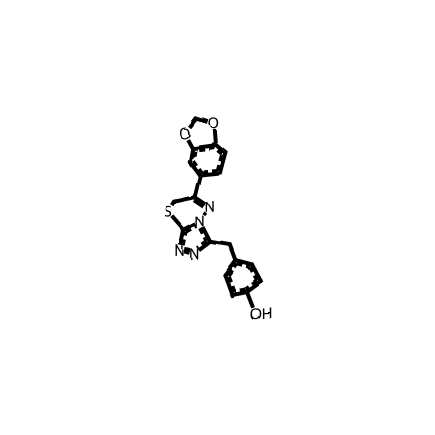 Oc1ccc(Cc2nnc3n2N=C(c2ccc4c(c2)OCO4)CS3)cc1